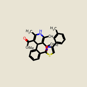 COC(=O)C1=C(C)NC(C)=C(C(=O)OC)C1c1ccccc1-c1nc(-c2cccc(C)c2)cs1